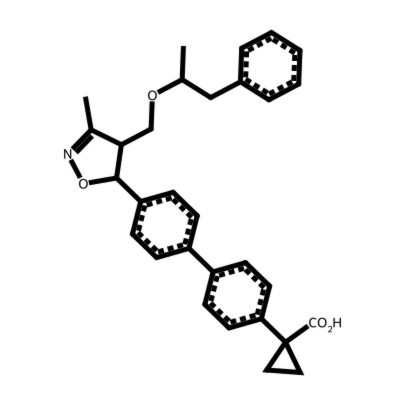 CC1=NOC(c2ccc(-c3ccc(C4(C(=O)O)CC4)cc3)cc2)C1COC(C)Cc1ccccc1